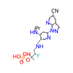 CC(C)Nc1cc(-n2ncc3cc(C#N)cnc32)ncc1CNC[C@@H](F)C(C)(C)OP(=O)(O)O